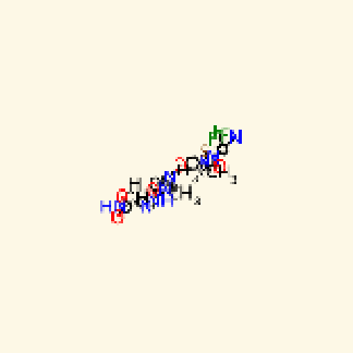 C[C@@H]1CN(CCO[C@H]2CC[C@H](N3C(=S)N(c4ccc(C#N)c(C(F)(F)F)c4)C(=O)C3(C)C)CC2)C[C@H](C)N1CC(=O)Nc1ccc([C@@]2(C)CCC(=O)NC2=O)cn1